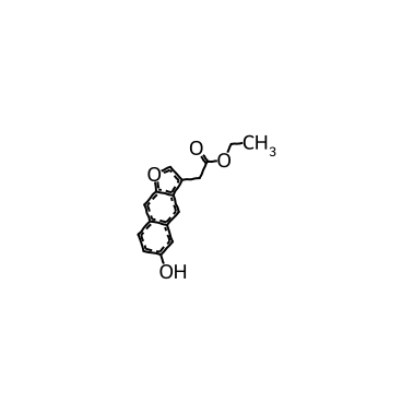 CCOC(=O)Cc1coc2cc3ccc(O)cc3cc12